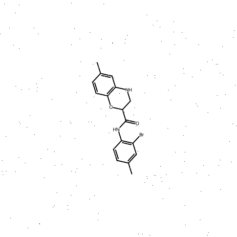 Cc1ccc(NC(=O)C2CNc3cc(C)ccc3O2)c(Br)c1